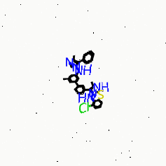 Cc1cc(Nn2cnc(C)c2-c2ccccc2)cc(-c2cccc(-c3c(C)[nH]c(=S)n3Nc3ccccc3Cl)c2)c1